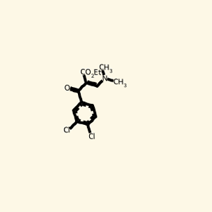 CCOC(=O)C(=CN(C)C)C(=O)c1ccc(Cl)c(Cl)c1